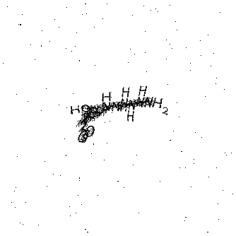 COC(=O)CC[C@@H](C)[C@H]1CCC2C3C(CC[C@@]21C)[C@@]1(C)CC[C@H](NCCNCCNCCNCCNCCN)CC1C[C@@H]3O